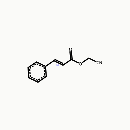 N#CCOC(=O)/C=C/c1ccccc1